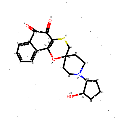 O=C1C(=O)c2ccccc2C2=C1SCC1(CCN(C3CCCC3O)CC1)O2